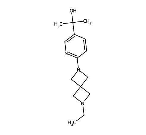 CCN1CC2(C1)CN(c1ccc(C(C)(C)O)cn1)C2